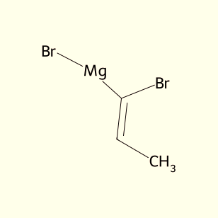 CC=[C](Br)[Mg][Br]